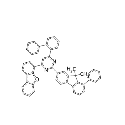 CC1(C)c2cc(-c3nc(-c4ccccc4-c4ccccc4)cc(-c4cccc5c4oc4ccccc45)n3)ccc2-c2cccc(-c3ccccc3)c21